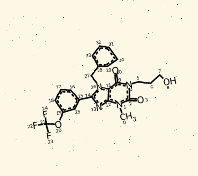 Cn1c(=O)n(CCCO)c(=O)c2c1nc(-c1cccc(OC(F)(F)F)c1)n2Cc1ccccc1